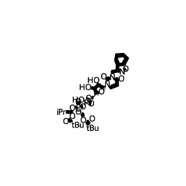 CC(C)C(OC(=O)C(C)(C)C)OP(=O)(OCOC(=O)C(C)(C)C)OP(=O)(O)OC[C@H]1O[C@@H](n2ccc(=O)n(Cc3noc4ccccc34)c2=O)[C@@H](O)C1O